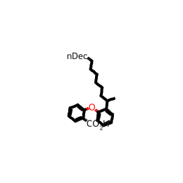 CCCCCCCCCCCCCCCCC(C)c1ccccc1Oc1ccccc1C(=O)O